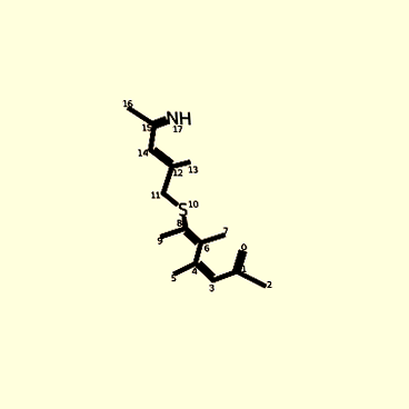 C=C(C)/C=C(C)\C(C)=C(/C)SC/C(C)=C/C(C)=N